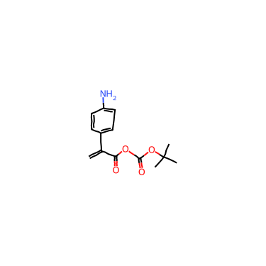 C=C(C(=O)OC(=O)OC(C)(C)C)c1ccc(N)cc1